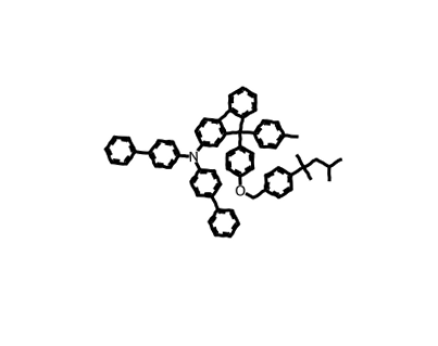 Cc1ccc(C2(c3ccc(OCc4ccc(C(C)(C)CC(C)C)cc4)cc3)c3ccccc3-c3ccc(N(c4ccc(-c5ccccc5)cc4)c4ccc(-c5ccccc5)cc4)cc32)cc1